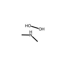 CNC.OO